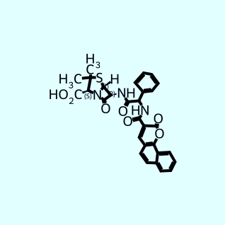 CC1(C)S[C@@H]2[C@H](NC(=O)C(NC(=O)c3cc4ccc5ccccc5c4oc3=O)c3ccccc3)C(=O)N2[C@H]1C(=O)O